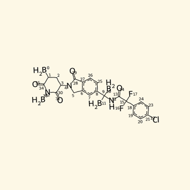 BC1CC(N2Cc3cc(C(B)(B)NC(=O)C(F)(F)c4ccc(Cl)cc4)ccc3C2=O)C(=O)N(B)C1=O